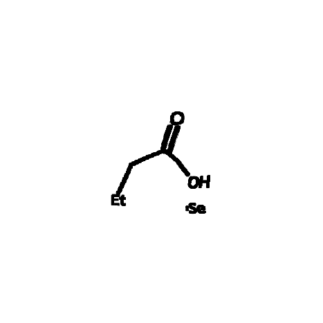 CCCC(=O)O.[Se]